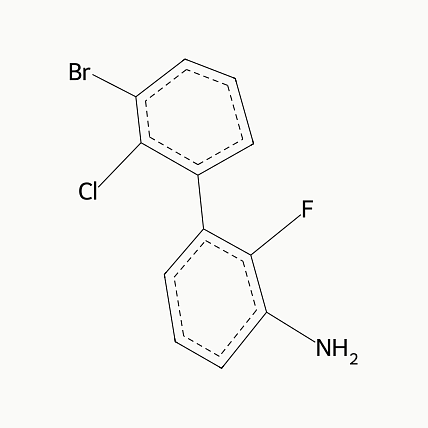 Nc1cccc(-c2cccc(Br)c2Cl)c1F